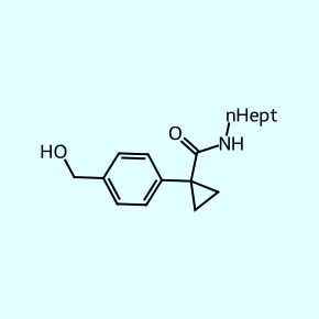 CCCCCCCNC(=O)C1(c2ccc(CO)cc2)CC1